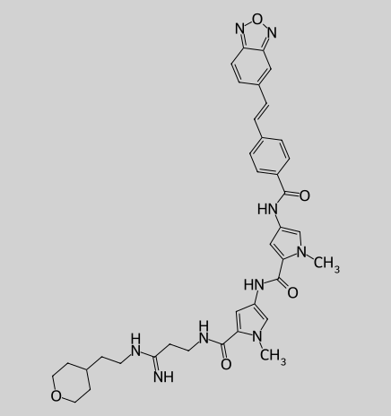 Cn1cc(NC(=O)c2cc(NC(=O)c3ccc(/C=C/c4ccc5nonc5c4)cc3)cn2C)cc1C(=O)NCCC(=N)NCCC1CCOCC1